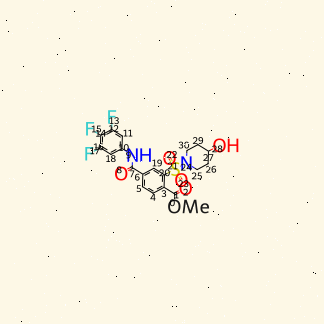 COC(=O)c1ccc(C(=O)Nc2cc(F)c(F)c(F)c2)cc1S(=O)(=O)N1CCC(O)CC1